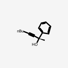 CCCCC#C[C@@](C)(O)c1ccccc1